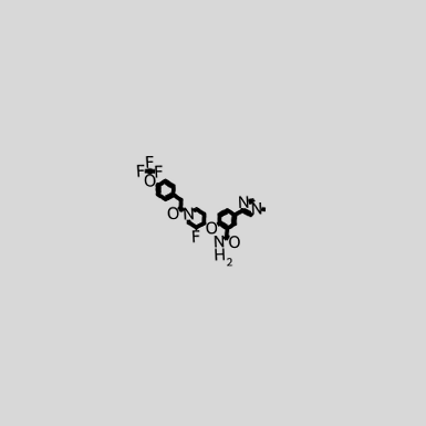 Cn1cnc(-c2ccc(O[C@@H]3CCN(C(=O)Cc4ccc(OC(F)(F)F)cc4)C[C@H]3F)c(C(N)=O)c2)c1